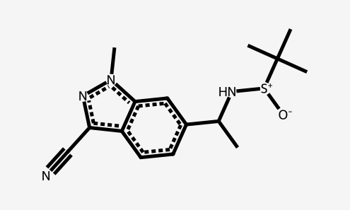 CC(N[S+]([O-])C(C)(C)C)c1ccc2c(C#N)nn(C)c2c1